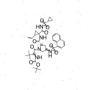 C=CC1CC1(NC(=O)[C@@H]1C[C@@H](NS(=O)(=O)c2cccc3ccccc23)CN1C(=O)[C@@H](NC(=O)OC(C)(C)C)C(C)(C)C)C(=O)NS(=O)(=O)C1CC1